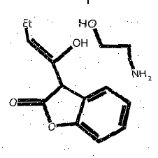 CC/C=C(\O)C1C(=O)Oc2ccccc21.NCCO